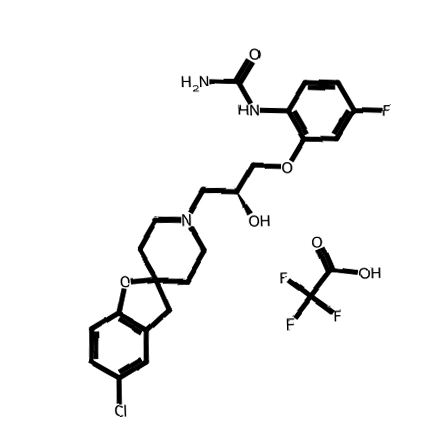 NC(=O)Nc1ccc(F)cc1OC[C@@H](O)CN1CCC2(CC1)Cc1cc(Cl)ccc1O2.O=C(O)C(F)(F)F